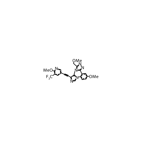 COCc1nnc2n1Cc1c(C#Cc3cnc(OC)c(C(F)(F)F)c3)ncn1-c1ccc(OC)cc1-2